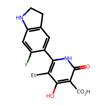 CCc1c(-c2cc3c(cc2F)NCC3)[nH]c(=O)c(C(=O)O)c1O